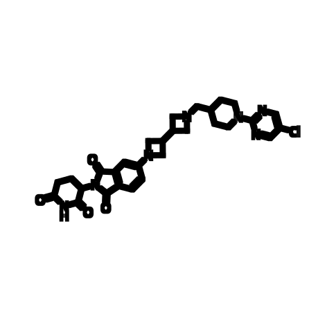 O=C1CCC(N2C(=O)c3ccc(N4CC(C5CN(CC6CCN(c7ncc(Cl)cn7)CC6)C5)C4)cc3C2=O)C(=O)N1